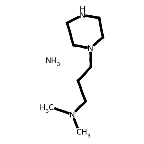 CN(C)CCCN1CCNCC1.N